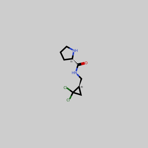 O=C(NC[C@H]1CC1(Cl)Cl)[C@@H]1CCCN1